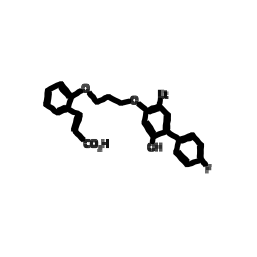 CCc1cc(-c2ccc(F)cc2)c(O)cc1OCCCOc1ccccc1C=CC(=O)O